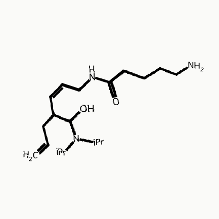 C=CCC(/C=C\CNC(=O)CCCCN)C(O)N(C(C)C)C(C)C